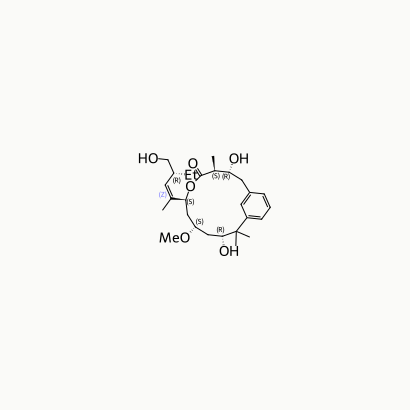 CC[C@H](/C=C(/C)[C@@H]1C[C@@H](OC)C[C@@H](O)C(C)(C)c2cccc(c2)C[C@@H](O)[C@H](C)C(=O)O1)CO